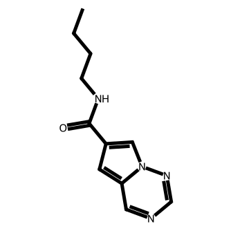 CCCCNC(=O)c1cc2cncnn2c1